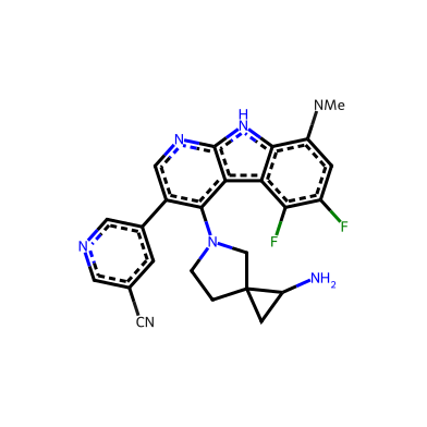 CNc1cc(F)c(F)c2c1[nH]c1ncc(-c3cncc(C#N)c3)c(N3CCC4(CC4N)C3)c12